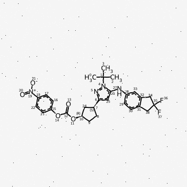 CC(C)(C)n1nc([C@H]2CC[C@@H](OC(=O)Oc3ccc([N+](=O)[O-])cc3)C2)cc1Nc1ccc2c(c1)CC(F)(F)C2